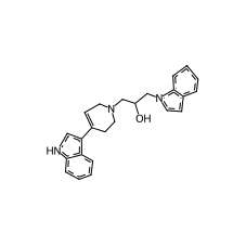 OC(CN1CC=C(c2c[nH]c3ccccc23)CC1)Cn1ccc2ccccc21